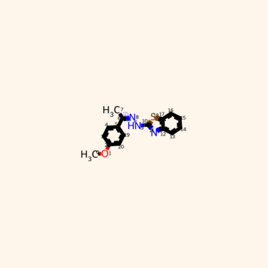 COc1ccc(/C(C)=N\Nc2nc3ccccc3s2)cc1